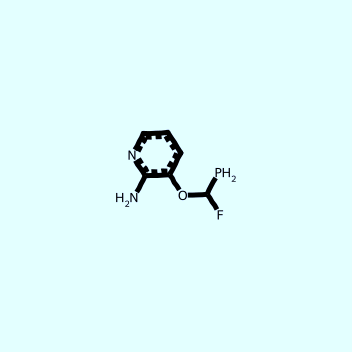 Nc1ncccc1OC(F)P